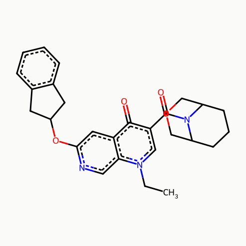 CCn1cc(C(=O)N2C3CCCC2COC3)c(=O)c2cc(OC3Cc4ccccc4C3)ncc21